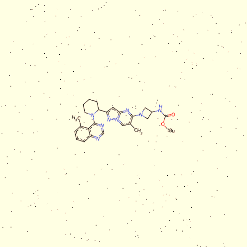 Cc1cn2nc(C3CCCCN3c3ncnc4cccc(C)c34)cc2nc1N1CC(NC(=O)OC(C)(C)C)C1